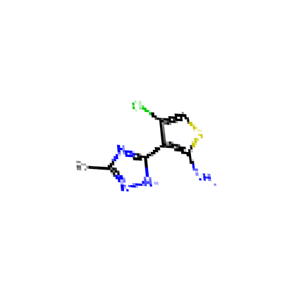 CCc1n[nH]c(-c2c(Cl)csc2N)n1